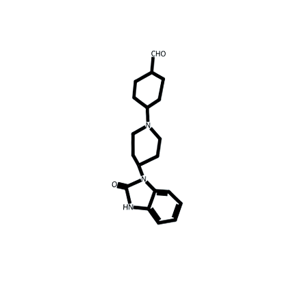 O=CC1CCC(N2CCC(n3c(=O)[nH]c4ccccc43)CC2)CC1